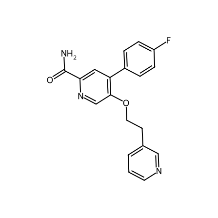 NC(=O)c1cc(-c2ccc(F)cc2)c(OCCc2cccnc2)cn1